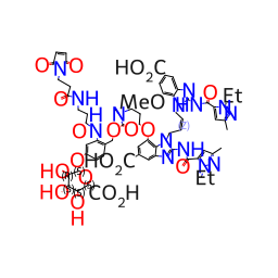 CCn1nc(C)cc1C(=O)Nc1nc2cc(C(=O)O)cc(OC)c2n1C/C=C\Cn1c(NC(=O)c2cc(C)nn2CC)nc2cc(C(=O)O)cc(OCCCN(C)C(=O)OCc3ccc(O[C@@H]4O[C@H](C(=O)O)[C@@H](O)[C@H](O)[C@H]4O)cc3NC(=O)CCNC(=O)CCN3C(=O)C=CC3=O)c21